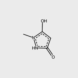 Cn1[nH]c(=O)cc1O